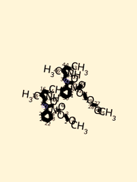 COCCOC(=O)N1C(=O)/C(=C\c2[nH]c(C)cc2C)c2ccccc21.COCCOCCOC(=O)N1C(=O)/C(=C\c2[nH]c(C)cc2C)c2ccccc21